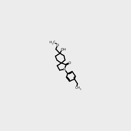 CCc1ccc(N2CCC3(CCC(O)(COC)CC3)C2=O)cc1